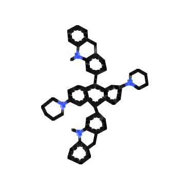 CN1c2ccccc2Cc2ccc(-c3c4ccc(N5CCCCC5)cc4c(-c4ccc5c(c4)N(C)c4ccccc4C5)c4ccc(N5CCCCC5)cc34)cc21